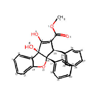 COC(=O)C1=C(O)[C@@]2(O)c3ccccc3O[C@@]2(c2ccccc2)[C@@H]1c1ccccc1